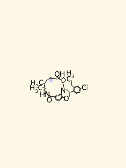 CCCc1cc(Cl)ccc1C1COc2ccc3cc2N(C1)CC1CCC1[C@@H](O)/C=C/CC(C)C(C)SNC3=O